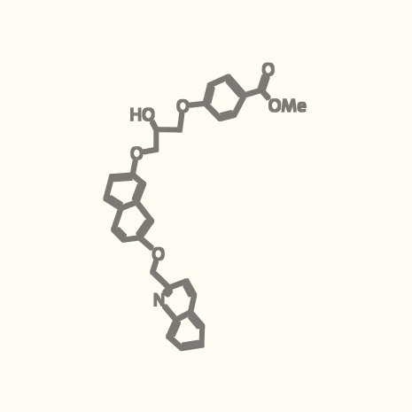 COC(=O)c1ccc(OCC(O)COc2ccc3ccc(OCc4ccc5ccccc5n4)cc3c2)cc1